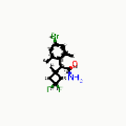 Cc1cc(Br)cc(C)c1C(C(N)=O)C1(C)CC(F)(F)C1